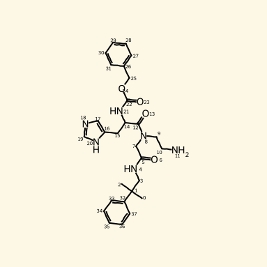 CC(C)(CNC(=O)CN(CCN)C(=O)C(Cc1cnc[nH]1)NC(=O)OCc1ccccc1)c1ccccc1